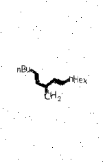 [CH2]C(C=CCCCC)C=CCCCCCC